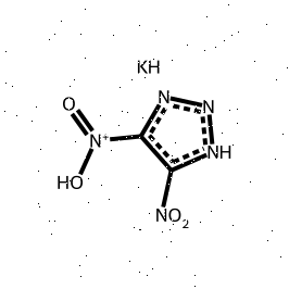 O=[N+]([O-])c1[nH]nnc1[N+](=O)O.[KH]